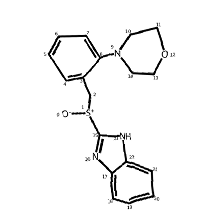 [O-][S+](Cc1ccccc1N1CCOCC1)c1nc2ccccc2[nH]1